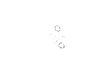 Cl.Cl.Fc1cc(Br)cc(COCC2(N3CCNCC3)CCc3ccccc32)c1